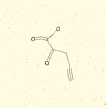 C#CCC(=O)C(=O)Cl